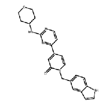 O=c1cc(-c2ccnc(NC3CCOCC3)n2)ccn1Cc1ccc2[nH]ccc2c1